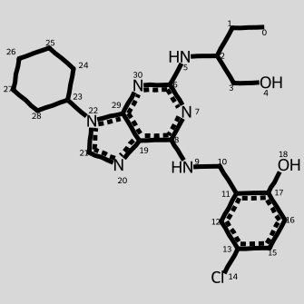 CCC(CO)Nc1nc(NCc2cc(Cl)ccc2O)c2ncn(C3CCCCC3)c2n1